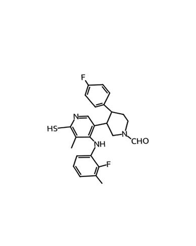 Cc1cccc(Nc2c(C3CN(C=O)CCC3c3ccc(F)cc3)cnc(S)c2C)c1F